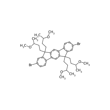 COC(C)CCC1(CCC(C)OC)c2cc(Br)ccc2-c2cc3c(cc21)-c1ccc(Br)cc1C3(CCC(C)OC)CCC(C)OC